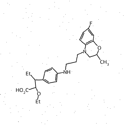 CCOC(C(=O)O)C(CC)c1ccc(NCCCN2CC(C)Oc3cc(F)ccc32)cc1